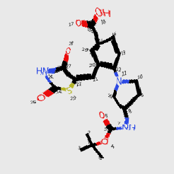 CC(C)(C)OC(=O)NC1CCN(c2ccc(C(=O)O)cc2C=C2SC(=O)NC2=O)C1